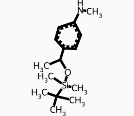 CNc1ccc(C(C)O[Si](C)(C)C(C)(C)C)cc1